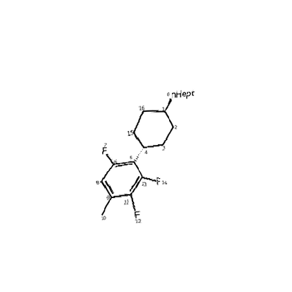 CCCCCCC[C@H]1CC[C@H](c2c(F)cc(C)c(F)c2F)CC1